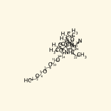 C#CCOCCOCCOCCOCCC(=O)N[C@H]([C@H]1[C@H](/C=C\C)C[C@H](C#N)N1C(=O)OC(C)(C)C)C(C)(CCC)OC